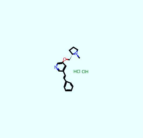 CN1CCC[C@H]1COc1cncc(/C=C/c2ccccc2)c1.Cl.Cl